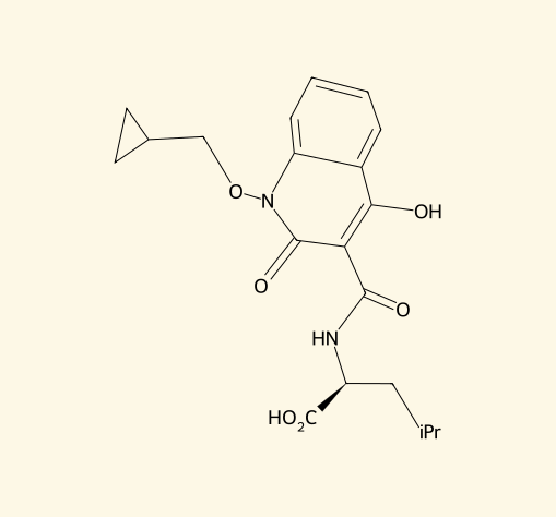 CC(C)C[C@H](NC(=O)c1c(O)c2ccccc2n(OCC2CC2)c1=O)C(=O)O